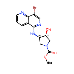 CC(C)(C)OC(=O)N1C[C@H](O)[C@H](Nc2ncc(Br)c3ncccc23)C1